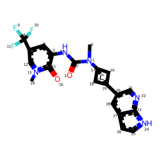 CN(C(=O)Nc1cc(C(F)(F)F)cn(C)c1=O)C12CC(c3cnc4[nH]ccc4c3)(C1)C2